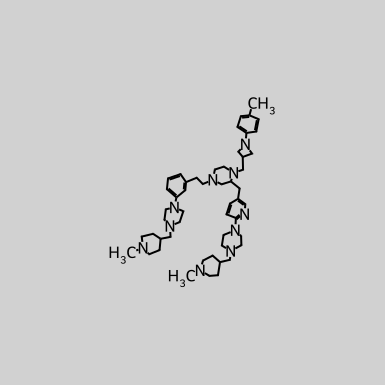 Cc1ccc(N2CC(CN3CCN(CCc4cccc(N5CCN(CC6CCN(C)CC6)CC5)c4)CC3Cc3ccc(N4CCN(CC5CCN(C)CC5)CC4)nc3)C2)cc1